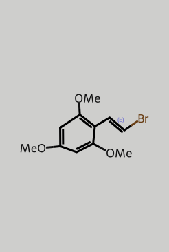 COc1cc(OC)c(/C=C/Br)c(OC)c1